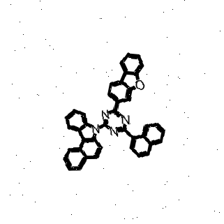 c1ccc2c(-c3nc(-c4ccc5c(c4)oc4ccccc45)nc(-n4c5ccccc5c5c6ccccc6ccc54)n3)cccc2c1